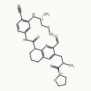 COC[C@@H](C)Nc1cc(NC(=O)N2CCCc3cc(CN(C)C(=O)[C@H]4CCCO4)c(C=O)nc32)ncc1C#N